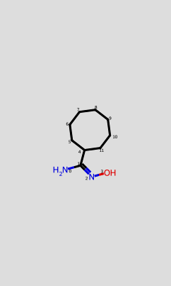 N/C(=N/O)C1CCCCCCC1